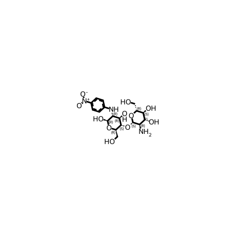 N[C@H]1[C@H](O[C@H]2[C@H](O)[C@@H](Nc3ccc([N+](=O)[O-])cc3)[C@H](O)O[C@@H]2CO)O[C@H](CO)[C@@H](O)[C@@H]1O